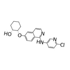 O[C@@H]1CCCC[C@@H]1Oc1ccc2c(Nc3ccc(Cl)nc3)nccc2c1